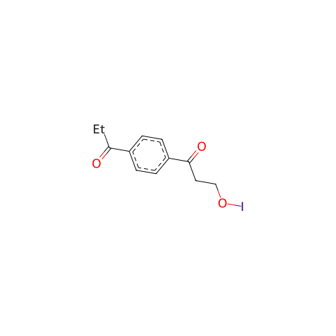 CCC(=O)c1ccc(C(=O)CCOI)cc1